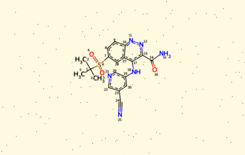 CC(C)(C)S(=O)(=O)c1ccc2nnc(C(N)=O)c(Nc3cncc(C#N)c3)c2c1